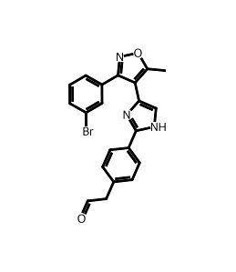 Cc1onc(-c2cccc(Br)c2)c1-c1c[nH]c(-c2ccc(CC=O)cc2)n1